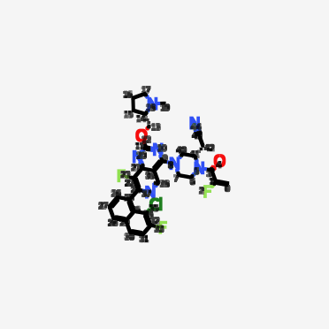 C=C(F)C(=O)N1CCN(c2nc(OC[C@@H]3CCCN3C)nc3c(F)c(-c4cccc5ccc(F)c(Cl)c45)ncc23)C[C@@H]1CC#N